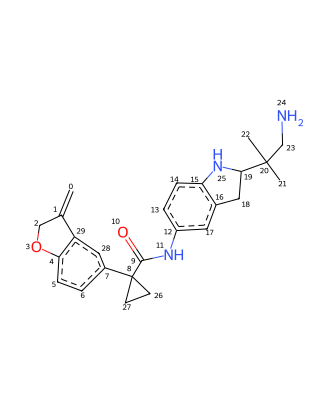 C=C1COc2ccc(C3(C(=O)Nc4ccc5c(c4)CC(C(C)(C)CN)N5)CC3)cc21